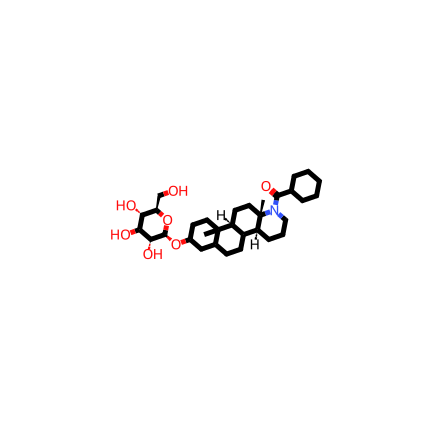 CC12CCC(O[C@@H]3O[C@H](CO)[C@@H](O)C(O)[C@H]3O)CC1CCC1[C@@H]2CC[C@@]2(C)[C@H]1CCCN2C(=O)C1CCCCC1